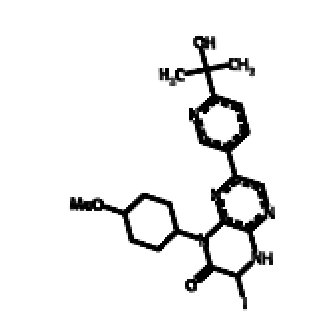 COC1CCC(N2C(=O)C(I)Nc3ncc(-c4ccc(C(C)(C)O)nc4)nc32)CC1